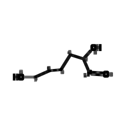 O=PC(O)CCCCO